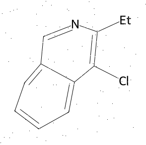 CCc1ncc2ccccc2c1Cl